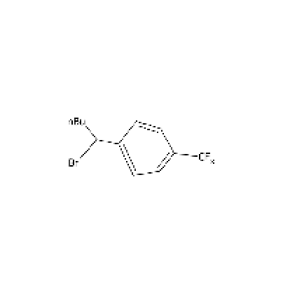 CCCCC(Br)c1ccc(C(F)(F)F)cc1